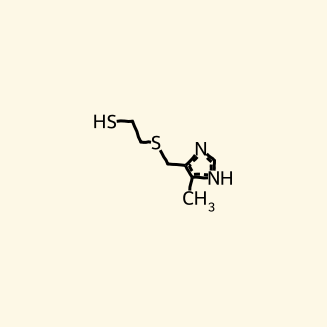 Cc1[nH]cnc1CSCCS